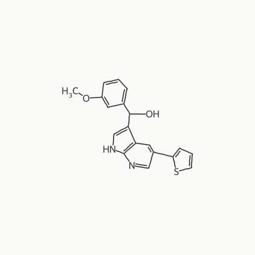 COc1cccc(C(O)c2c[nH]c3ncc(-c4cccs4)cc23)c1